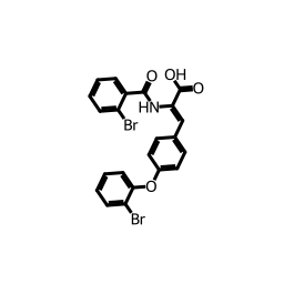 O=C(O)/C(=C/c1ccc(Oc2ccccc2Br)cc1)NC(=O)c1ccccc1Br